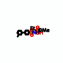 CCC(NS(=O)(=O)c1ccc(-c2cccc(C)c2)cc1)P(=O)(O)OC